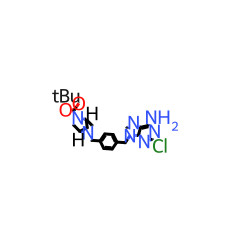 CC(C)(C)OC(=O)N1C[C@@H]2C[C@H]1CN2Cc1ccc(Cn2cnc3c(N)nc(Cl)nc32)cc1